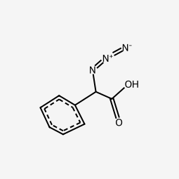 [N-]=[N+]=NC(C(=O)O)c1ccccc1